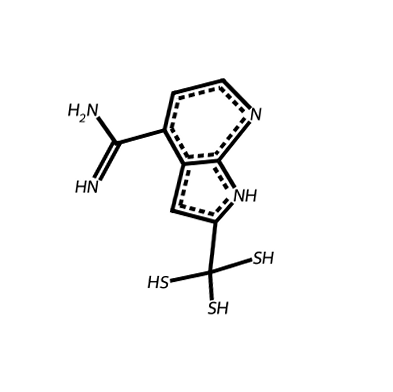 N=C(N)c1ccnc2[nH]c(C(S)(S)S)cc12